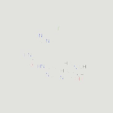 CN(C)C(C)(C)C1(O)CCCN(c2ccc(Nc3ccc(-c4cnc5cc(F)ccn45)c4c3C(=O)NC4)nc2)C1